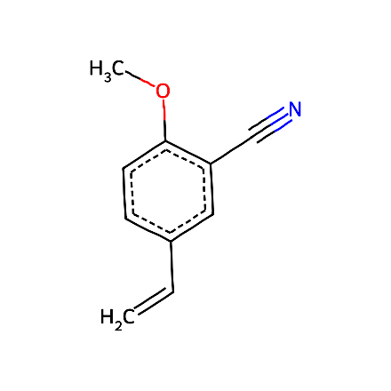 C=Cc1ccc(OC)c(C#N)c1